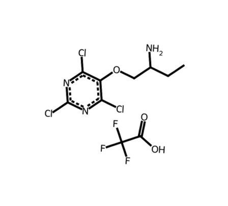 CCC(N)COc1c(Cl)nc(Cl)nc1Cl.O=C(O)C(F)(F)F